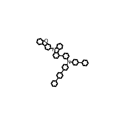 c1ccc(-c2ccc(-c3ccc(N(c4ccc(-c5ccccc5)cc4)c4cccc(-c5cccc6c5c5ccccc5n6-c5ccc6c(c5)oc5ccccc56)c4)cc3)cc2)cc1